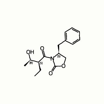 CC[C@H](C(=O)N1C(=O)OC[C@@H]1Cc1ccccc1)[C@@H](C)O